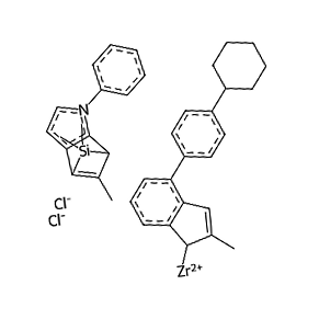 CC1=C2c3ccn(-c4ccccc4)c3C1[Si]2(C)C.CC1=Cc2c(-c3ccc(C4CCCCC4)cc3)cccc2[CH]1[Zr+2].[Cl-].[Cl-]